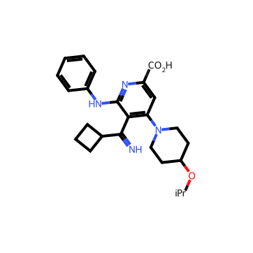 CC(C)OC1CCN(c2cc(C(=O)O)nc(Nc3ccccc3)c2C(=N)C2CCC2)CC1